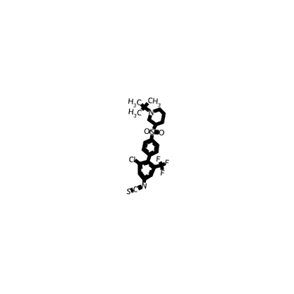 CC(C)(C)N1CCCC(S(=O)(=O)c2ccc(-c3c(Cl)cc(N=C=S)cc3C(F)(F)F)cc2)C1